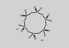 O=P1([O-])OP(=O)([O-])OP(=O)([O-])OP(=O)([O-])OP(=O)([O-])OP(=O)([O-])O1.[Y+3].[Y+3]